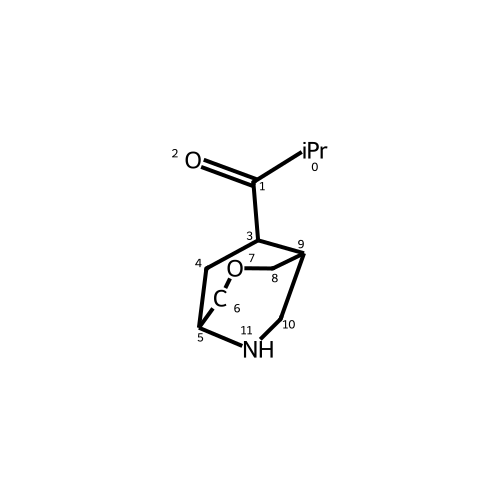 CC(C)C(=O)C1CC2COCC1CN2